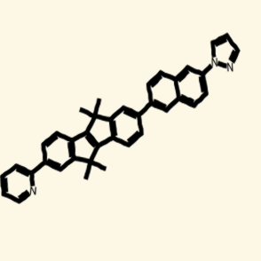 CC1(C)C2=C(c3ccc(-c4ccc5cc(-n6cccn6)ccc5c4)cc31)C(C)(C)c1cc(-c3ccccn3)ccc12